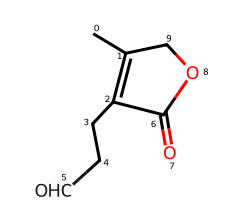 CC1=C(CCC=O)C(=O)OC1